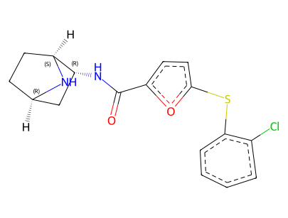 O=C(N[C@@H]1C[C@H]2CC[C@@H]1N2)c1ccc(Sc2ccccc2Cl)o1